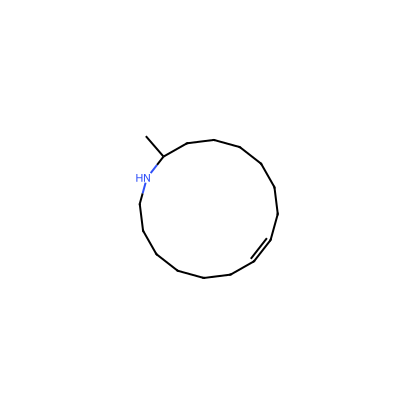 CC1CCCCCCC=CCCCCCCN1